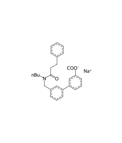 CCCCN(Cc1cccc(-c2cccc(C(=O)[O-])c2)c1)C(=O)CCc1ccccc1.[Na+]